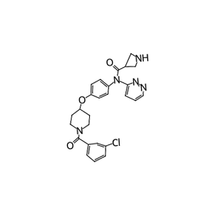 O=C(c1cccc(Cl)c1)N1CCC(Oc2ccc(N(C(=O)C3CNC3)c3cccnn3)cc2)CC1